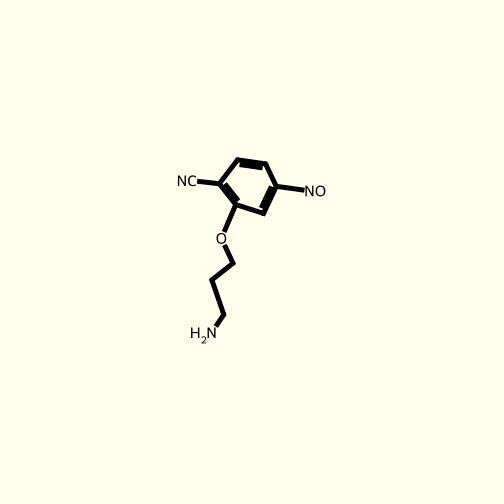 N#Cc1ccc(N=O)cc1OCCCN